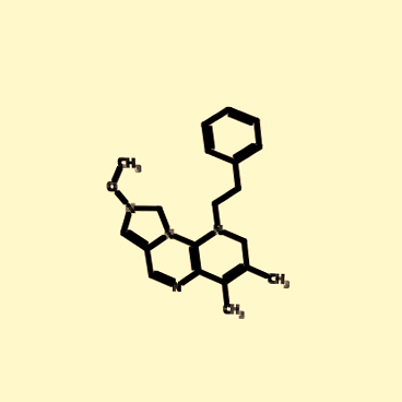 CON1C=C2C=NC3=C(N(CCc4ccccc4)CC(C)=C3C)N2C1